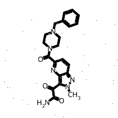 Cn1nc2ccc(C(=O)N3CCN(Cc4ccccc4)CC3)nc2c1C(=O)C(N)=O